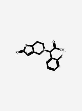 CC(=O)C(c1ccccc1F)N1CCC2SC(=O)C=C2C1